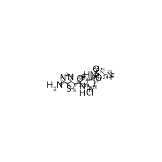 Nc1ncnc2c1SCC2C(=O)Nc1c(Cl)ccc(NS(=O)(=O)CCCF)c1F